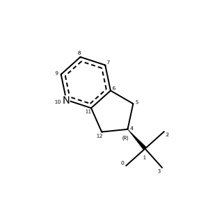 CC(C)(C)[C@@H]1Cc2cccnc2C1